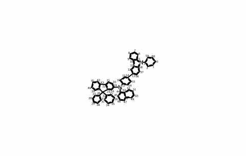 c1ccc(-n2c3ccccc3c3cc(-c4ccc(N(c5ccc6c(c5)C(c5ccccc5)(c5ccccc5)c5ccccc5-6)c5cccc6ccccc56)cc4)ccc32)cc1